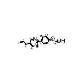 C=CCc1cnc(-c2ccc(OCO)cc2)nc1